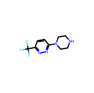 FC(F)(F)c1ccc(N2CCNCC2)nn1